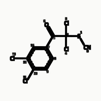 N#CSC(Cl)(Cl)C(=O)c1ccc(Cl)c(Cl)c1